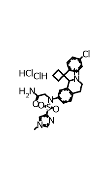 Cl.Cl.Cn1cnc(S(=O)(=O)N(CC(N)=O)c2ccc3c(c2)C(C2(c4ccc(Cl)cc4)CCC2)NCC3)c1